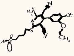 CCOc1cc(-c2c(C#N)c(N)nc(SCCCCS(N)(=O)=O)c2C#N)ccc1O